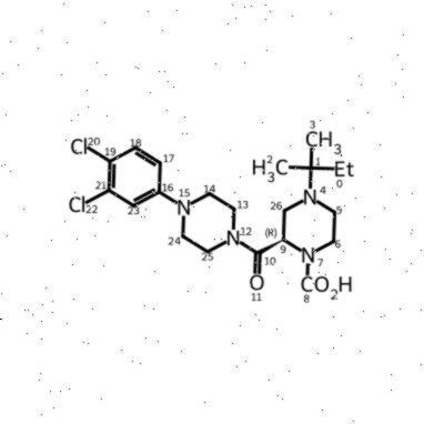 CCC(C)(C)N1CCN(C(=O)O)[C@@H](C(=O)N2CCN(c3ccc(Cl)c(Cl)c3)CC2)C1